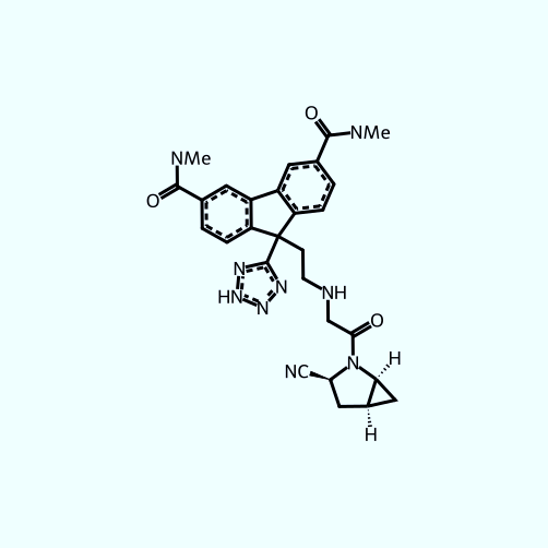 CNC(=O)c1ccc2c(c1)-c1cc(C(=O)NC)ccc1C2(CCNCC(=O)N1[C@H](C#N)C[C@@H]2C[C@@H]21)c1nn[nH]n1